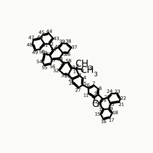 CC1(C)c2cc(-c3ccc4c(c3)oc3c5ccccc5c5ccccc5c43)ccc2-c2ccc(-c3c4ccccc4c(-c4cccc5ccccc45)c4ccccc34)cc21